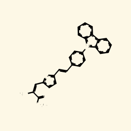 COC(=O)/C(C#N)=C\c1ccc(/C=C/c2ccc(-n3c4ccccc4c4ccccc43)cc2)s1